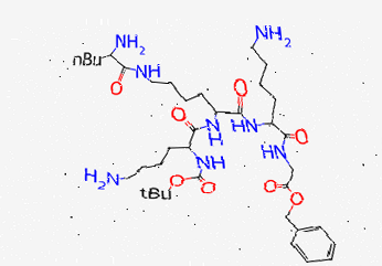 CCCCC(N)C(=O)NCCCCC(NC(=O)C(CCCCN)NC(=O)OC(C)(C)C)C(=O)NC(CCCCN)C(=O)NCC(=O)OCc1ccccc1